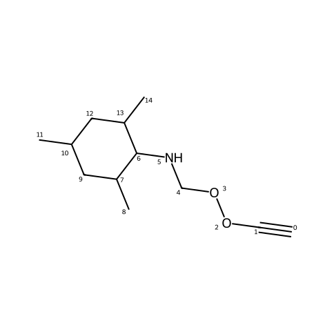 C#COOCNC1C(C)CC(C)CC1C